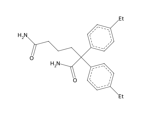 CCc1ccc(C(CCCC(N)=O)(C(N)=O)c2ccc(CC)cc2)cc1